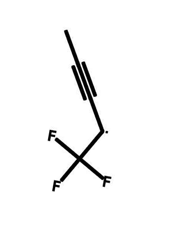 CC#C[CH]C(F)(F)F